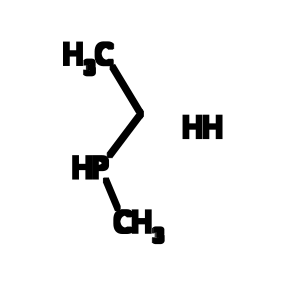 CCPC.[HH]